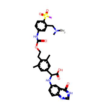 BN(C)Cc1cc(NC(=O)OCCc2c(C)cc(C(Nc3ccc4nc[nH]c(=O)c4c3)C(=O)O)cc2C)ccc1S(=O)(=O)I